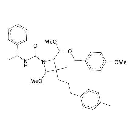 COc1ccc(COC(OC)C2N(C(=O)NC(C)c3ccccc3)C(OC)C2(C)CCCc2ccc(C)cc2)cc1